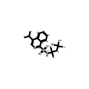 CC(C)c1cnc(S(=O)(=O)NC(C)(C)CC(F)(F)F)c2ccccc12